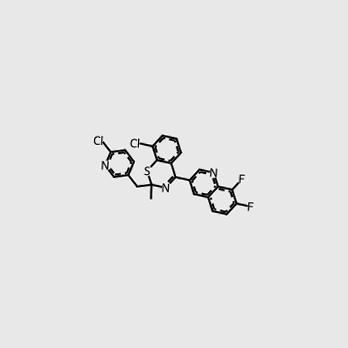 CC1(Cc2ccc(Cl)nc2)N=C(c2cnc3c(F)c(F)ccc3c2)c2cccc(Cl)c2S1